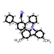 Cc1ccc2c(c1)c1cc(C)ccc1n2-c1ccccc1-c1cccc(-c2ccccc2)c1C#N